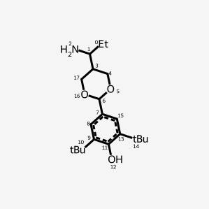 CCC(N)C1COC(c2cc(C(C)(C)C)c(O)c(C(C)(C)C)c2)OC1